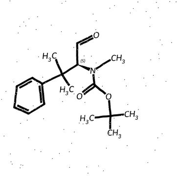 CN(C(=O)OC(C)(C)C)[C@H](C=O)C(C)(C)c1ccccc1